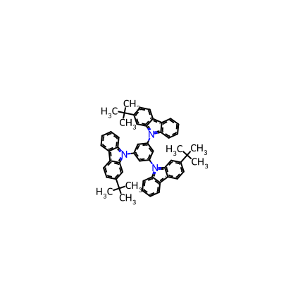 CC(C)(C)c1ccc2c3ccccc3n(-c3cc(-n4c5ccccc5c5ccc(C(C)(C)C)cc54)cc(-n4c5ccccc5c5ccc(C(C)(C)C)cc54)c3)c2c1